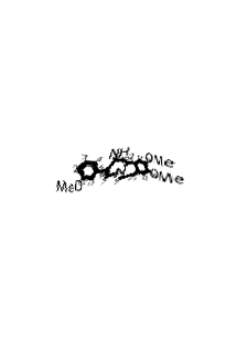 COc1cccc(C2CN3CCc4cc(OC)c(OC)cc4C3CC2N)c1